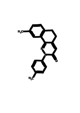 Cc1ccc(-n2nc3c(cc2=O)CCc2ccc(C)cc2-3)cc1